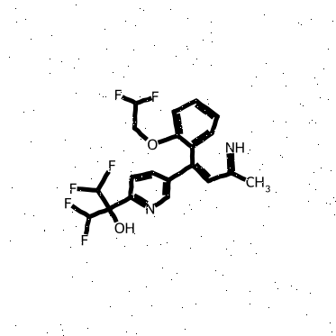 CC(=N)/C=C(/c1ccc(C(O)(C(F)F)C(F)F)nc1)c1ccccc1OCC(F)F